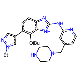 CCn1cc(-c2ccc3nc(Nc4cc(CN5CCNCC5)ccn4)[nH]c3c2OCC(C)C)cn1